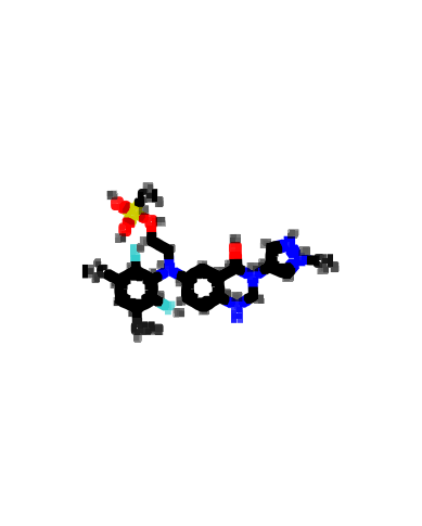 COc1cc(C)c(F)c(N(CCOS(C)(=O)=O)c2ccc3c(c2)C(=O)N(c2cnn(C)c2)CN3)c1F